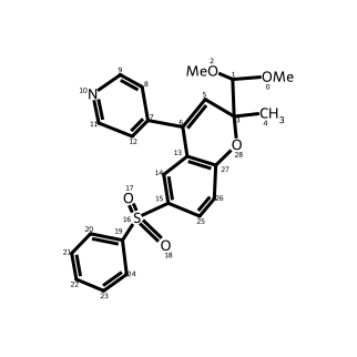 COC(OC)C1(C)C=C(c2ccncc2)c2cc(S(=O)(=O)c3ccccc3)ccc2O1